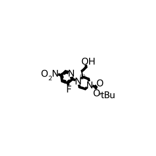 CC(C)(C)OC(=O)N1CCN(c2ncc([N+](=O)[O-])cc2F)[C@@H](CCO)C1